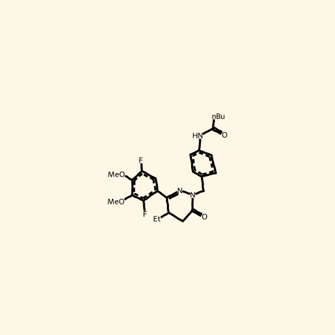 CCCCC(=O)Nc1ccc(CN2N=C(c3cc(F)c(OC)c(OC)c3F)C(CC)CC2=O)cc1